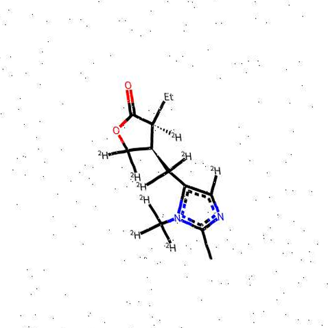 [2H]c1nc(C)n(C([2H])([2H])[2H])c1C([2H])([2H])[C@H]1C([2H])([2H])OC(=O)[C@@]1([2H])CC